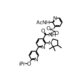 CC(=O)Nc1ncccc1S(=O)(=O)NC(=O)c1ccc(-c2ccc(OC(C)C)nc2)nc1N1CCC(C)C1(C)C